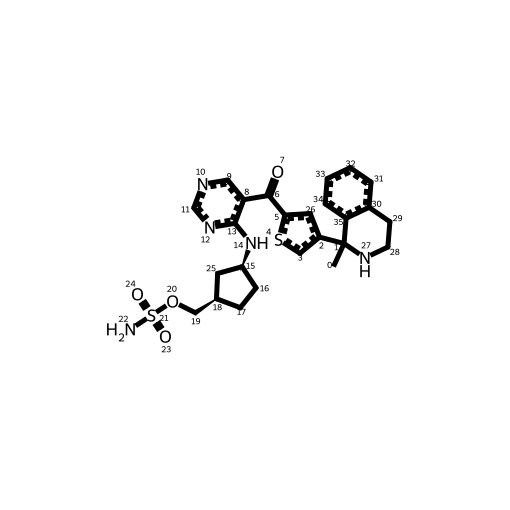 CC1(c2csc(C(=O)c3cncnc3N[C@H]3CC[C@@H](COS(N)(=O)=O)C3)c2)NCCc2ccccc21